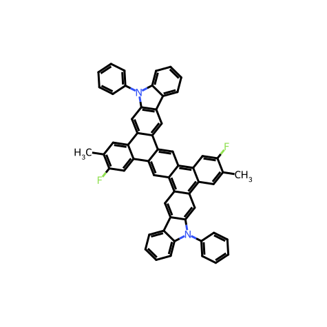 Cc1cc2c(cc1F)c1cc3c(cc1c1cc4c5ccccc5n(-c5ccccc5)c4cc21)c1cc(F)c(C)cc1c1cc2c(cc31)c1ccccc1n2-c1ccccc1